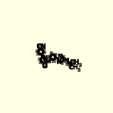 CN(C)C=Nc1cnc(-c2cccc(Cn3nc(-c4ccc(C#N)cc4)ccc3=O)c2)nc1